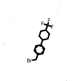 FC(F)(F)C1CCC(c2ccc(CBr)cc2)CC1